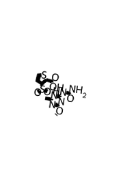 COc1nc(C)nc(NC(N)=O)n1.O=C(O)C1SC=CC1=S(=O)=O